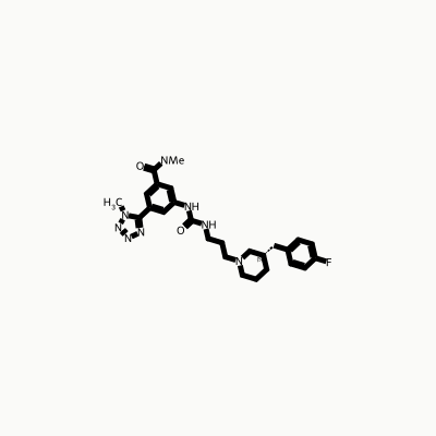 CNC(=O)c1cc(NC(=O)NCCCN2CCC[C@@H](Cc3ccc(F)cc3)C2)cc(-c2nnnn2C)c1